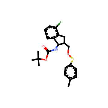 Cc1ccc(SOCC2Cc3c(Cl)cccc3C2NC(=O)OC(C)(C)C)cc1